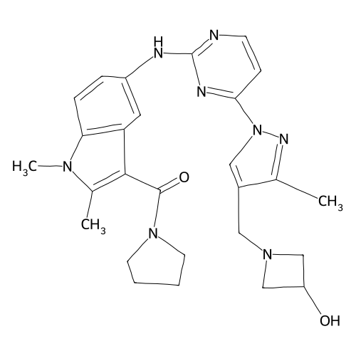 Cc1nn(-c2ccnc(Nc3ccc4c(c3)c(C(=O)N3CCCC3)c(C)n4C)n2)cc1CN1CC(O)C1